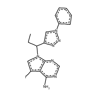 CCC(c1cn(-c2ccccc2)nn1)n1cc(I)c2c(N)ncnc21